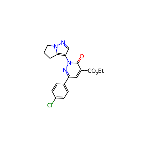 CCOC(=O)c1cc(-c2ccc(Cl)cc2)nn(-c2cnn3c2CCC3)c1=O